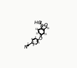 C/C=C(\C=C/C(C)C#N)Oc1ccc2c(c1)COB2O